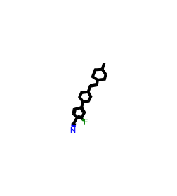 CC1CCC(C=CC2CCC(c3ccc(C#N)c(F)c3)CC2)CC1